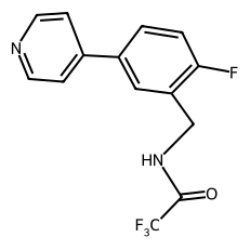 O=C(NCc1cc(-c2ccncc2)ccc1F)C(F)(F)F